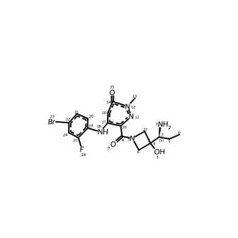 CC[C@H](N)C1(O)CN(C(=O)c2nn(C)c(=O)cc2Nc2ccc(Br)cc2F)C1